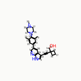 Cc1cc(-c2cnc3[nH]cc(C#CC4(CO)CCC4)c3c2)cc(C)c1N1CCN(C)CC1